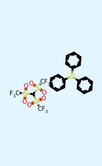 O=S(=O)(C(S(=O)(=O)C(F)(F)F)S(=O)(=O)C(F)(F)F)C(F)(F)F.c1ccc([S+](c2ccccc2)c2ccccc2)cc1